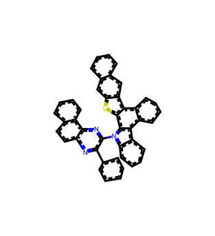 c1ccc(-c2nc3ccc4ccccc4c3nc2-n2c3ccccc3c3c4ccccc4c4c5cc6ccccc6cc5sc4c32)cc1